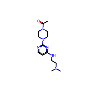 CC(=O)N1CCN(c2nccc(NCCN(C)C)n2)CC1